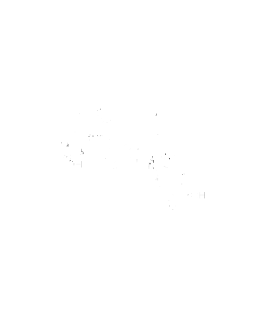 COc1cc2c(cc1O)nc(CCC(C)C)n2Cc1ccc(-c2ccccc2OC(=O)O)cc1